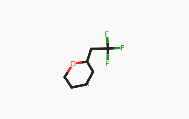 FC(F)(F)CC1C[C]CCO1